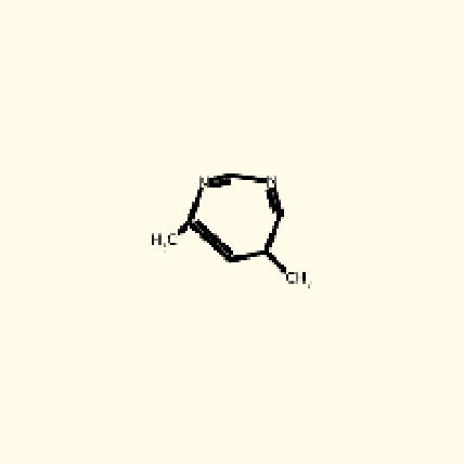 CC1=CC(C)C=NC=N1